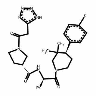 CC(C)[C@@H](NC(=O)[C@@H]1CCN(C(=O)Cc2nnn[nH]2)C1)C(=O)N1CC[C@H](c2ccc(Cl)cc2)C(C)(C)C1